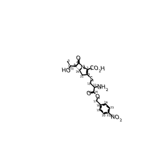 C[C@H](O)[C@@H]1C(=O)N2C(C(=O)O)=C(SCC(N)C(=O)OCc3ccc([N+](=O)[O-])cc3)CC12